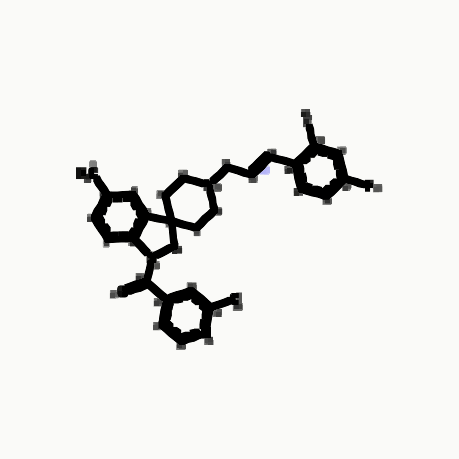 Cc1ccc2c(c1)C1(CCN(C/C=C/c3ccc(F)cc3F)CC1)CN2C(=O)c1ccnc(Cl)c1